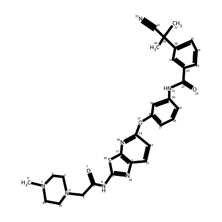 CN1CCN(CC(=O)Nc2nc3ccc(Oc4cccc(NC(=O)c5cccc(C(C)(C)C#N)c5)c4)nc3s2)CC1